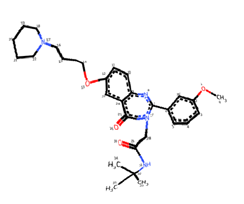 COc1cccc(-c2nc3ccc(OCCCN4CCCCC4)cc3c(=O)n2CC(=O)NC(C)(C)C)c1